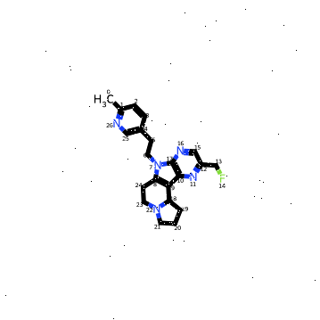 Cc1ccc(CCn2c3c(c4nc(CF)cnc42)C2CCCN2CC3)cn1